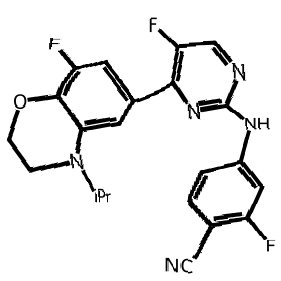 CC(C)N1CCOc2c(F)cc(-c3nc(Nc4ccc(C#N)c(F)c4)ncc3F)cc21